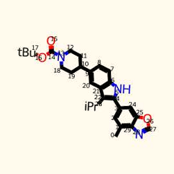 Cc1cc(-c2[nH]c3ccc(C4CCN(C(=O)OC(C)(C)C)CC4)cc3c2C(C)C)cc2ocnc12